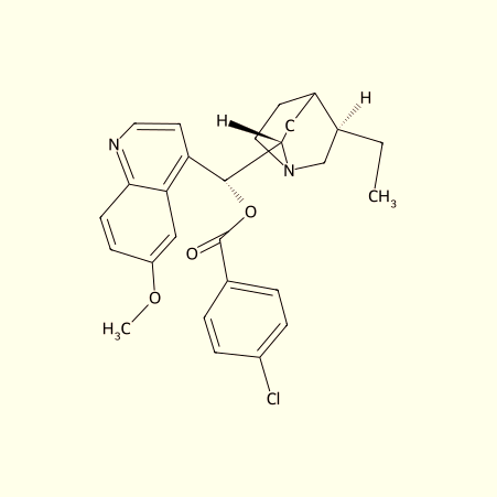 CC[C@H]1CN2CCC1C[C@H]2[C@H](OC(=O)c1ccc(Cl)cc1)c1ccnc2ccc(OC)cc12